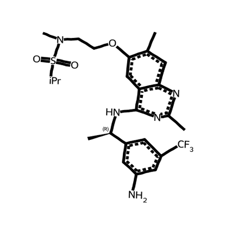 Cc1nc(N[C@H](C)c2cc(N)cc(C(F)(F)F)c2)c2cc(OCCN(C)S(=O)(=O)C(C)C)c(C)cc2n1